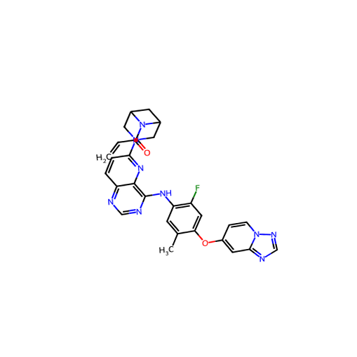 C=CC(=O)N1C2CC1CN(c1ccc3ncnc(Nc4cc(C)c(Oc5ccn6ncnc6c5)cc4F)c3n1)C2